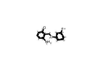 Nc1cccc(Cl)c1COc1cccc(F)c1